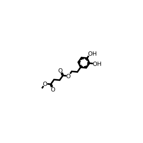 COC(=O)CCC(=O)OCCc1ccc(O)c(O)c1